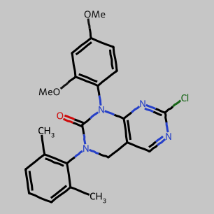 COc1ccc(N2C(=O)N(c3c(C)cccc3C)Cc3cnc(Cl)nc32)c(OC)c1